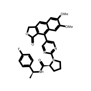 COc1cc2cc3c(c(-c4cnc(N5CCC[C@H]5C(=O)N[C@@H](C)c5ccc(F)cc5)nc4)c2cc1OC)C(=O)OC3